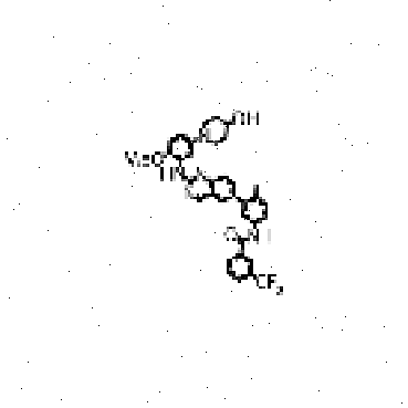 COc1ccc(N2CCC(O)CC2)cc1Nc1ncc2cc(-c3cc(NC(=O)c4cccc(C(F)(F)F)c4)ccc3C)ccc2n1